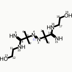 CC(C)(/N=N/C(C)(C)C(=N)NCCO)C(=N)NCCO